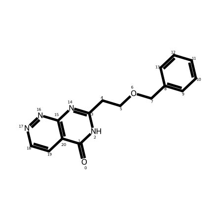 O=c1[nH]c(CCOCc2ccccc2)nc2nnccc12